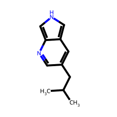 CC(C)Cc1cnc2c[nH]cc2c1